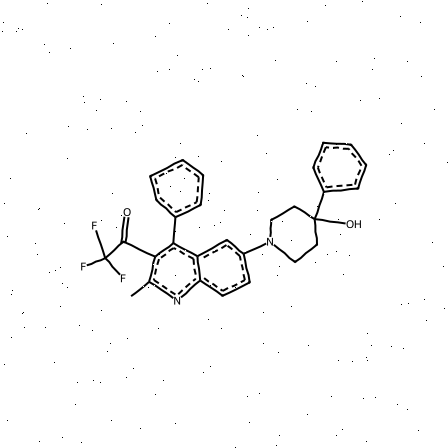 Cc1nc2ccc(N3CCC(O)(c4ccccc4)CC3)cc2c(-c2ccccc2)c1C(=O)C(F)(F)F